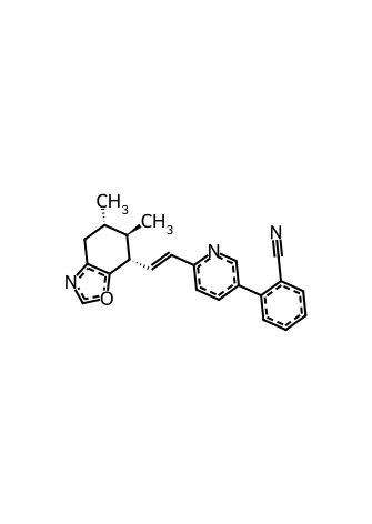 C[C@H]1[C@H](/C=C/c2ccc(-c3ccccc3C#N)cn2)c2ocnc2C[C@@H]1C